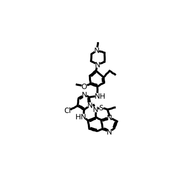 CCc1cc(Nc2ncc(Cl)c(Nc3ccc4nccnc4c3N(C)SC(C)C)n2)c(OC)cc1N1CCN(C)CC1